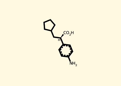 Nc1ccc([C@@H](CC2CCCC2)C(=O)O)cc1